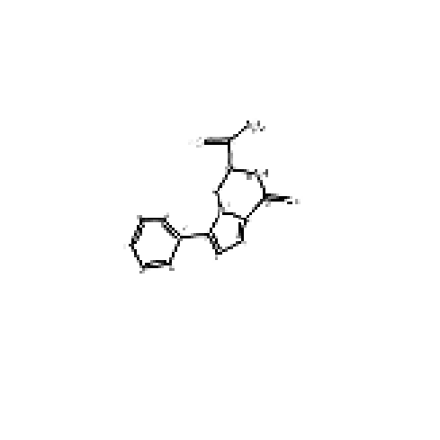 NC(=O)C1Cn2c(ccc2-c2ccccc2)C(=O)N1